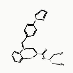 CC(C)C[C@@H](CO)NC(=O)[C@@H]1CN(Cc2ccc(-n3cccn3)cc2)c2ccccc2O1